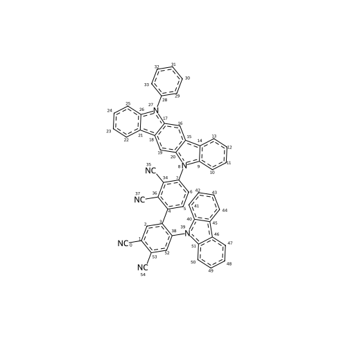 N#Cc1cc(-c2ccc(-n3c4ccccc4c4cc5c(cc43)c3ccccc3n5-c3ccccc3)c(C#N)c2C#N)c(-n2c3ccccc3c3ccccc32)cc1C#N